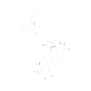 [2H]c1c([2H])c([2H])c(-c2ccc(-n3c4ccccc4c4cc(-c5ccc6c(c5)c5ccccc5n6-c5ccccc5)ccc43)c(-c3c([2H])c([2H])c([2H])c([2H])c3[2H])c2)c([2H])c1[2H]